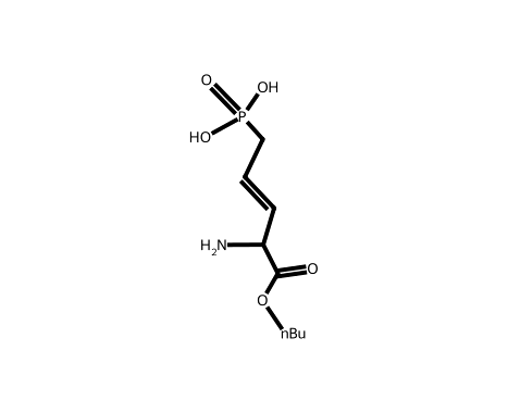 CCCCOC(=O)C(N)C=CCP(=O)(O)O